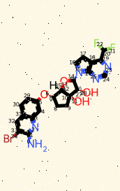 Nc1nc2cc(O[C@H]3CC[C@@]4(O)[C@@H]3O[C@@H](n3ccc5c(C(F)F)ncnc53)[C@@H]4O)ccc2cc1Br